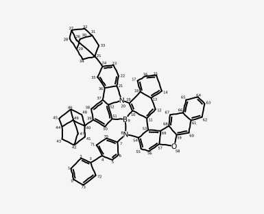 c1ccc(-c2ccc(N3B4c5c(cc6ccccc6c5-n5c6ccc(C78CC9CC(CC(C9)C7)C8)cc6c6cc(C78CC9CC(CC(C9)C7)C8)cc4c65)-c4c3ccc3oc5cc6ccccc6cc5c43)cc2)cc1